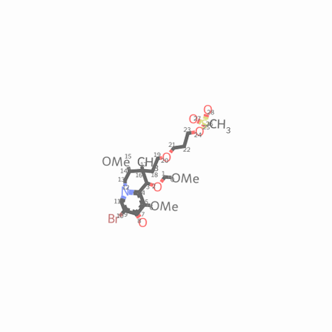 COCOC1c2c(OC)c(=O)c(Br)cn2CC(OC)C1(C)CCOCCCOS(C)(=O)=O